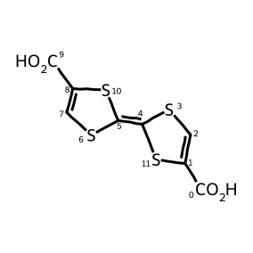 O=C(O)C1=CS/C(=C2/SC=C(C(=O)O)S2)S1